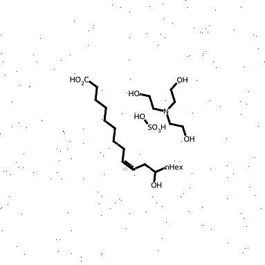 CCCCCCC(O)C/C=C\CCCCCCCC(=O)O.O=S(=O)(O)O.OCCN(CCO)CCO